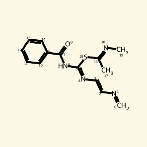 C=N/C=C/N=C(/NC(=O)c1ccccc1)S/C(C)=N/C